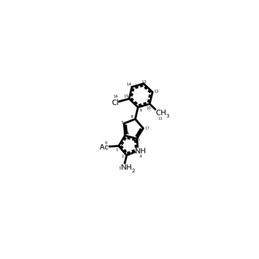 CC(=O)c1c(N)[nH]c2c1=CC(c1c(C)cccc1Cl)C=2